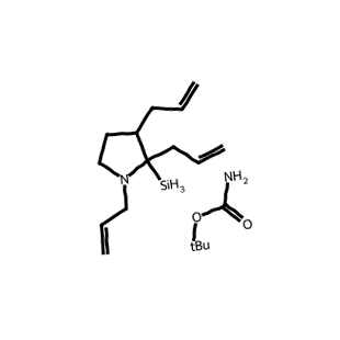 C=CCC1CCN(CC=C)C1([SiH3])CC=C.CC(C)(C)OC(N)=O